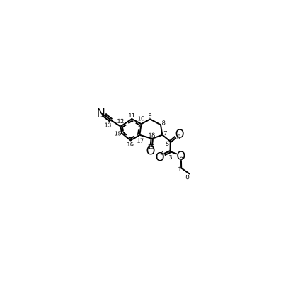 CCOC(=O)C(=O)C1CCc2cc(C#N)ccc2C1=O